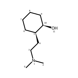 CN(C)CC[C@H]1CCCC[C@H]1O